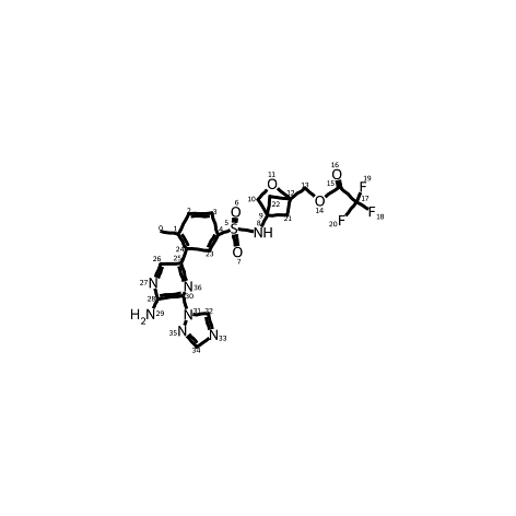 Cc1ccc(S(=O)(=O)NC23COC(COC(=O)C(F)(F)F)(C2)C3)cc1-c1cnc(N)c(-n2cncn2)n1